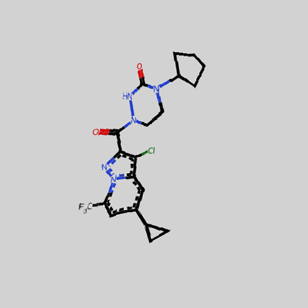 O=C(c1nn2c(C(F)(F)F)cc(C3CC3)cc2c1Cl)N1CCN(C2CCCC2)C(=O)N1